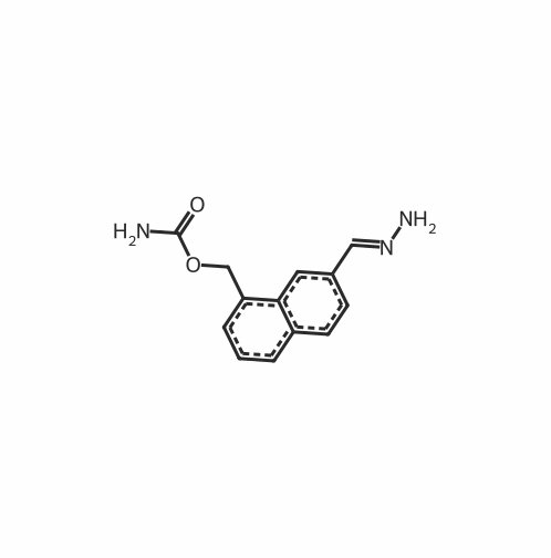 NN=Cc1ccc2cccc(COC(N)=O)c2c1